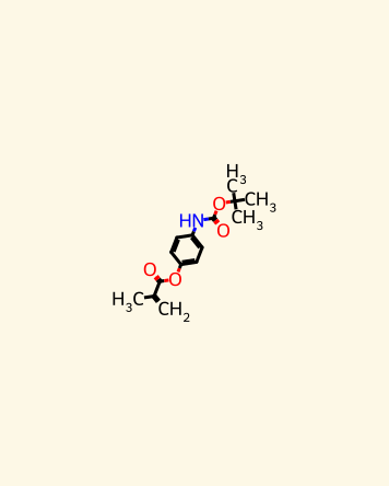 C=C(C)C(=O)Oc1ccc(NC(=O)OC(C)(C)C)cc1